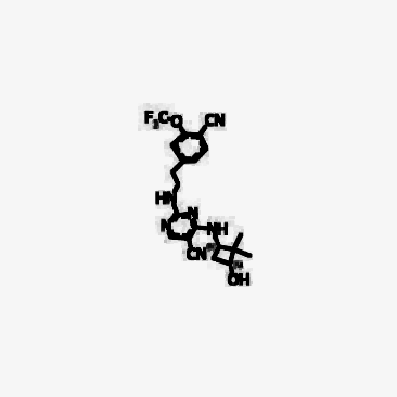 CC1(C)[C@@H](O)C[C@H]1Nc1nc(NCCc2ccc(C#N)c(OC(F)(F)F)c2)ncc1C#N